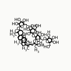 C[C@H](CC[C@@H](O[C@@H]1O[C@H](CO[C@@H]2O[C@H](CO)[C@@H](O)[C@H](O)[C@H]2O)[C@@H](O)[C@H](O)[C@H]1O[C@@H]1O[C@H](CO)[C@@H](O)[C@H](O)[C@H]1O)C(C)(C)O)[C@H]1CC[C@@]2(C)C3CC=C4[C@@H](CC[C@H](O[C@@H]5O[C@H](CO)[C@@H](O)[C@H](O)[C@H]5O)C4(C)C)[C@]3(C)CC[C@]12C